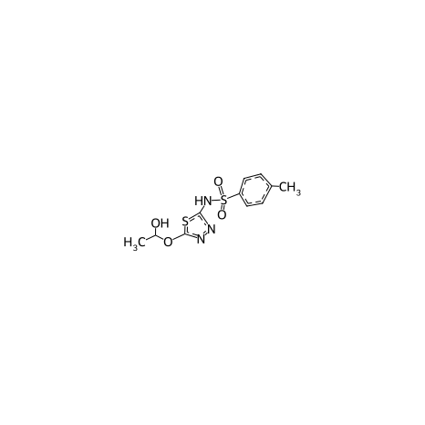 Cc1ccc(S(=O)(=O)Nc2nnc(OC(C)O)s2)cc1